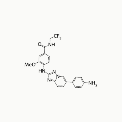 COc1cc(C(=O)NCC(F)(F)F)ccc1Nc1nc2ccc(-c3ccc(N)cc3)cn2n1